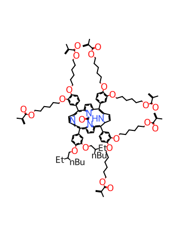 C=C(C)C(=O)OCCCCCCOc1ccc(/C2=C3\C=CC(N3)/C(c3ccc(OCCCCCCOC(=O)C(=C)C)c(OCCCCCCOC(=O)C(=C)C)c3)=c3/ccc4c(-c5ccc(OCC(CC)CCCC)c(OCC(CC)CCCC)c5)c5nc(c(-c6ccc(OCCCCCCOC(=O)C(=C)C)c(OCCCCCCOC(=O)C(=C)C)c6)c6ccc2n6c(=O)n34)C=C5)cc1OCCCCCCOC(=O)C(=C)C